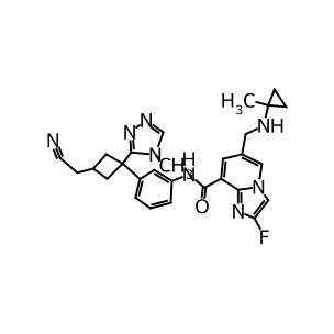 Cn1cnnc1C1(c2cccc(NC(=O)c3cc(CNC4(C)CC4)cn4cc(F)nc34)c2)CC(CC#N)C1